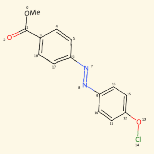 COC(=O)c1ccc(/N=N/c2ccc(OCl)cc2)cc1